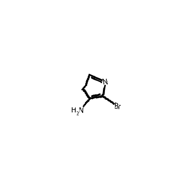 NC1=C(Br)N=CC1